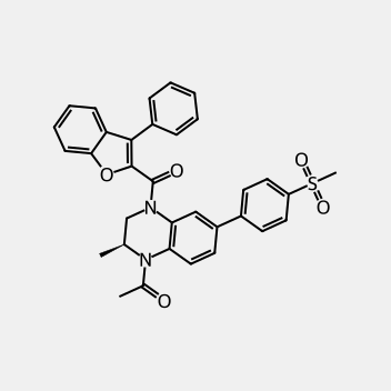 CC(=O)N1c2ccc(-c3ccc(S(C)(=O)=O)cc3)cc2N(C(=O)c2oc3ccccc3c2-c2ccccc2)C[C@@H]1C